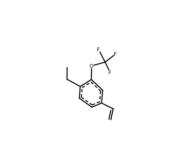 C=[C]c1ccc(CC)c(OC(F)(F)F)c1